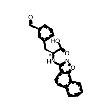 O=Cc1cccc(C[C@H](Nc2noc3c2ccc2ccccc23)C(=O)O)c1